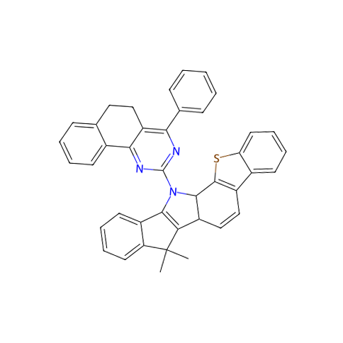 CC1(C)C2=C(c3ccccc31)N(c1nc(-c3ccccc3)c3c(n1)-c1ccccc1CC3)C1c3sc4ccccc4c3C=CC21